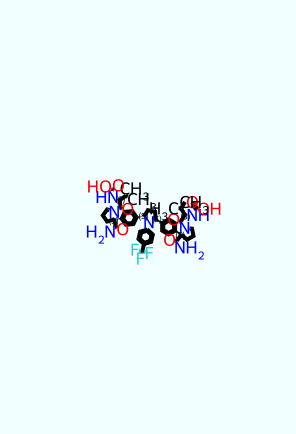 CC(C)[C@H](NC(=O)O)C(=O)N1CCC[C@@]1(C(N)=O)c1ccc([C@@H]2CC[C@@H](c3ccc([C@]4(C(N)=O)CCCN4C(=O)[C@@H](NC(=O)O)C(C)C)cc3)N2c2ccc(C(F)(F)F)cc2)cc1